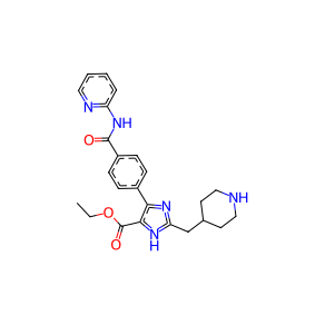 CCOC(=O)c1[nH]c(CC2CCNCC2)nc1-c1ccc(C(=O)Nc2ccccn2)cc1